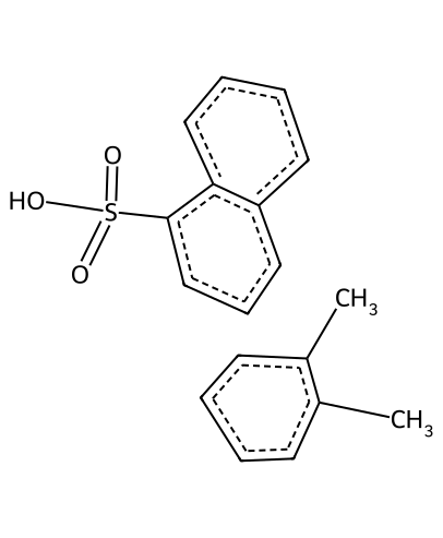 Cc1ccccc1C.O=S(=O)(O)c1cccc2ccccc12